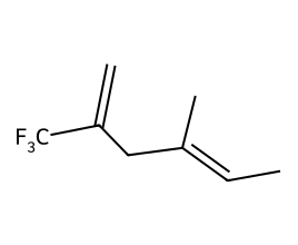 C=C(C/C(C)=C/C)C(F)(F)F